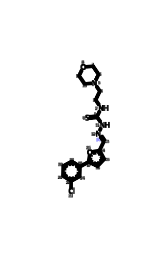 S=C(NCCN1CCOCC1)N/N=C/c1ccc(-c2cccc(Cl)c2)o1